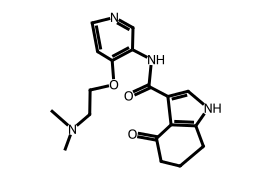 CN(C)CCOc1ccncc1NC(=O)c1c[nH]c2c1C(=O)CCC2